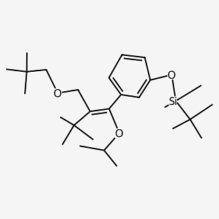 CC(C)OC(=C(COCC(C)(C)C)C(C)(C)C)c1cccc(O[Si](C)(C)C(C)(C)C)c1